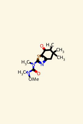 CON(C)C(=O)N(C)c1nc2c(s1)C(=O)C(C)C(C)(C)C2